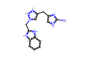 Nc1nc(Cc2cn(Cc3nc4ccccc4[nH]3)nn2)c[nH]1